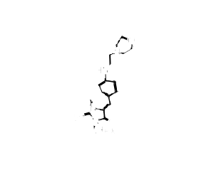 CCCCCCN1C(=O)C(=Cc2ccc(NCCN3CCOCC3)cc2)N(C)C1=[Se]